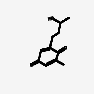 CC1=CC(=O)C=C(CCC(C)O)C1=O